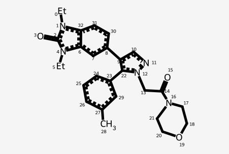 CCn1c(=O)n(CC)c2cc(-c3cnn(CC(=O)N4CCOCC4)c3-c3cccc(C)c3)ccc21